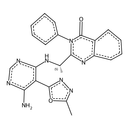 Cc1nnc(-c2c(N)ncnc2N[C@@H](C)c2nc3ccccc3c(=O)n2-c2ccccc2)o1